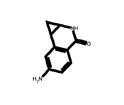 Nc1ccc2c(c1)C1CC1NC2=O